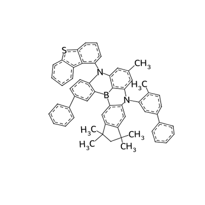 Cc1cc2c3c(c1)N(c1cccc4sc5ccccc5c14)c1ccc(-c4ccccc4)cc1B3c1cc3c(cc1N2c1cc(-c2ccccc2)ccc1C)C(C)(C)CC3(C)C